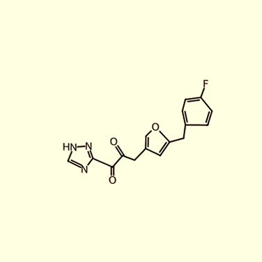 O=C(Cc1coc(Cc2ccc(F)cc2)c1)C(=O)c1nc[nH]n1